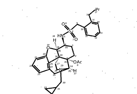 CC(=O)O[C@@]12CC[C@H](NS(=O)(=O)Cc3ccccc3CC(C)C)[C@@H]3Oc4cccc5c4[C@@]31CCN(CC1CC1)[C@@H]2C5